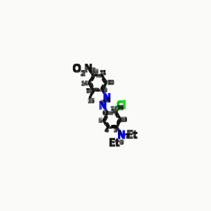 CCN(CC)c1ccc(N=Nc2ccc([N+](=O)[O-])cc2C)c(Cl)c1